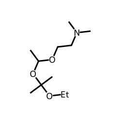 CCOC(C)(C)OC(C)OCCN(C)C